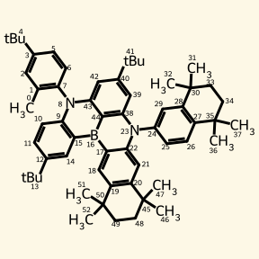 Cc1cc(C(C)(C)C)ccc1N1c2ccc(C(C)(C)C)cc2B2c3cc4c(cc3N(c3ccc5c(c3)C(C)(C)CCC5(C)C)c3cc(C(C)(C)C)cc1c32)C(C)(C)CCC4(C)C